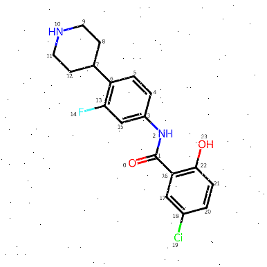 O=C(Nc1ccc(C2CCNCC2)c(F)c1)c1cc(Cl)ccc1O